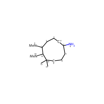 CNC1CCCC(N)CCCC(C)(C)C1NC